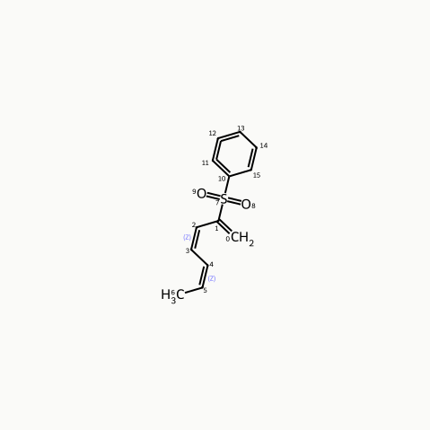 C=C(/C=C\C=C/C)S(=O)(=O)C1=C=C=CC=C1